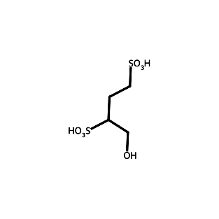 O=S(=O)(O)CCC(CO)S(=O)(=O)O